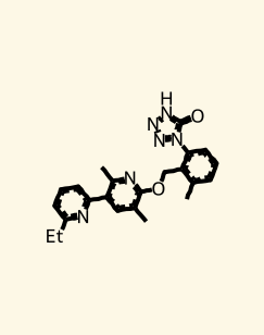 CCc1cccc(-c2cc(C)c(OCc3c(C)cccc3-n3nn[nH]c3=O)nc2C)n1